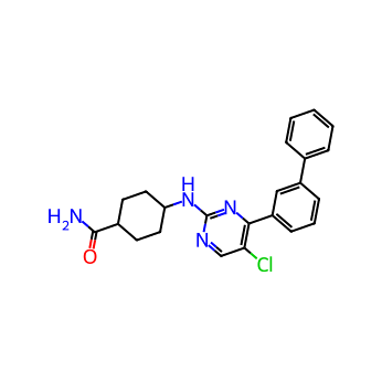 NC(=O)C1CCC(Nc2ncc(Cl)c(-c3cccc(-c4ccccc4)c3)n2)CC1